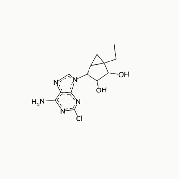 Nc1nc(Cl)nc2c1ncn2C1C(O)C(O)C2(CI)CC12